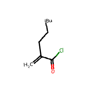 C=C(CCC(C)CC)C(=O)Cl